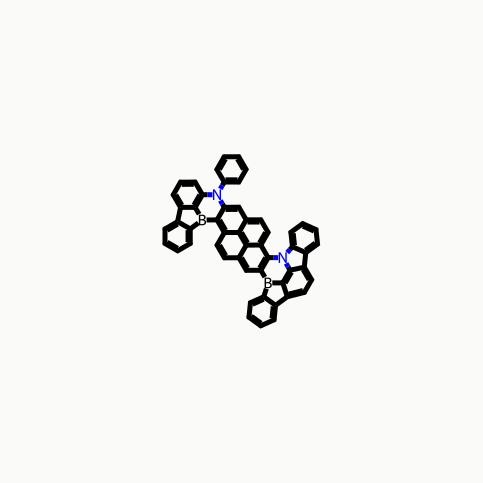 c1ccc(N2c3cccc4c3B(c3ccccc3-4)c3c2cc2ccc4c5c(cc6ccc3c2c64)B2c3ccccc3-c3ccc4c6ccccc6n-5c4c32)cc1